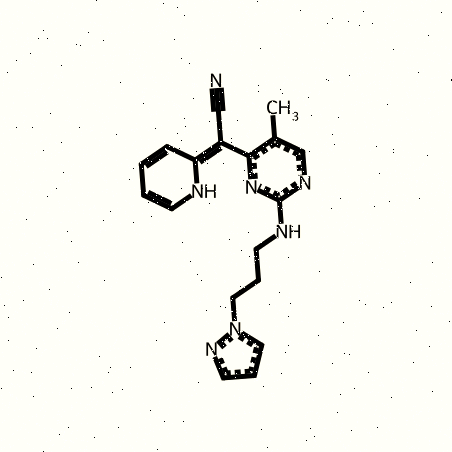 Cc1cnc(NCCCn2cccn2)nc1C(C#N)=C1C=CC=CN1